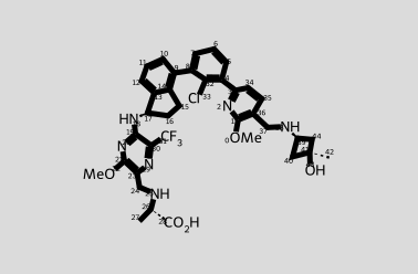 COc1nc(-c2cccc(-c3cccc4c3CC[C@@H]4Nc3nc(OC)c(CN[C@@H](C)C(=O)O)nc3C(F)(F)F)c2Cl)ccc1CN[C@H]1C[C@](C)(O)C1